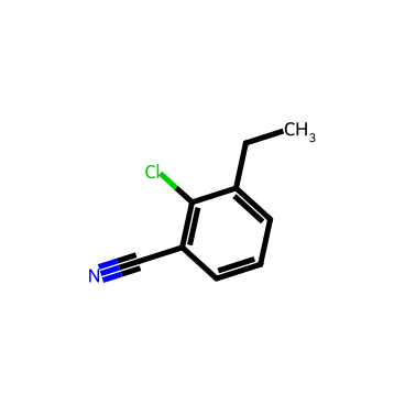 CCc1cccc(C#N)c1Cl